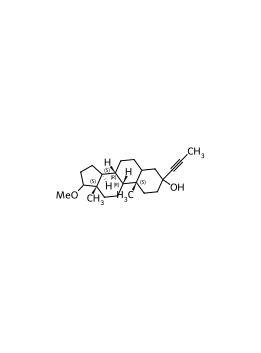 CC#CC1(O)CC[C@@]2(C)C(CC[C@@H]3[C@H]2CC[C@]2(C)C(OC)CC[C@@H]32)C1